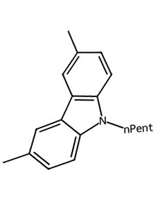 CCCCCn1c2ccc(C)cc2c2cc(C)ccc21